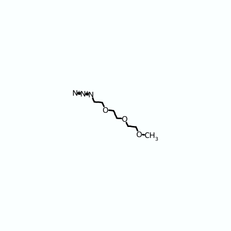 COCCOCCOCCN=[N+]=[N-]